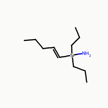 CCCC=C[Si](N)(CCC)CCC